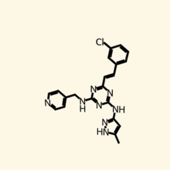 Cc1cc(Nc2nc(/C=C/c3cccc(Cl)c3)nc(NCc3ccncc3)n2)n[nH]1